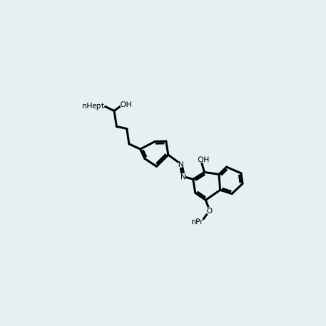 CCCCCCCC(O)CCCc1ccc(N=Nc2cc(OCCC)c3ccccc3c2O)cc1